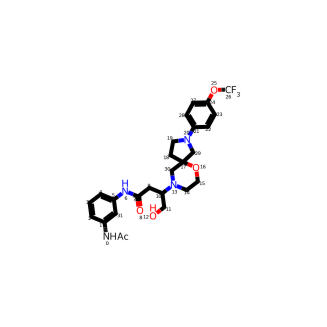 CC(=O)Nc1cccc(NC(=O)CC(CO)N2CCOC3(CCN(c4ccc(OC(F)(F)F)cc4)C3)C2)c1